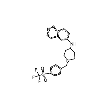 O=S(=O)(c1ccc(CN2CCC(Nc3ccc4cnccc4c3)CC2)cc1)C(F)(F)F